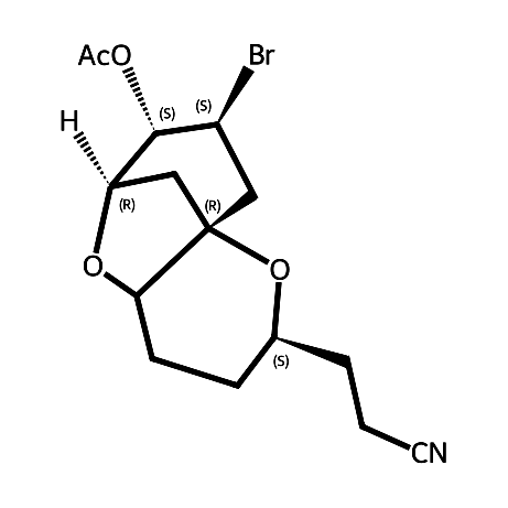 CC(=O)O[C@@H]1[C@@H](Br)C[C@]23C[C@H]1OC2CC[C@H](CCC#N)O3